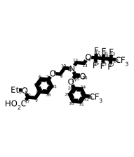 CCOC(Cc1ccc(OCCN(CCOC(F)(F)C(F)(F)C(F)(F)C(F)(F)F)C(=O)Oc2cccc(C(F)(F)F)c2)cc1)C(=O)O